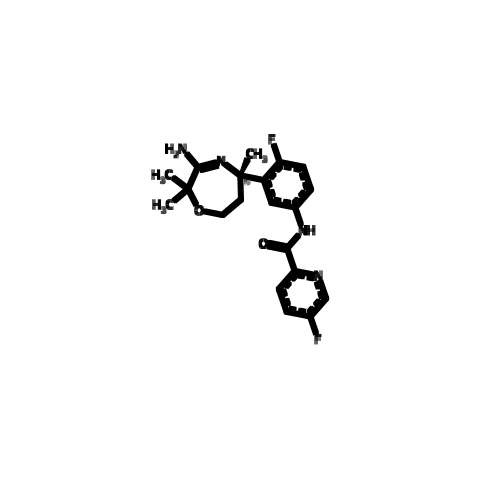 CC1(C)OCC[C@@](C)(c2cc(NC(=O)c3ccc(F)cn3)ccc2F)N=C1N